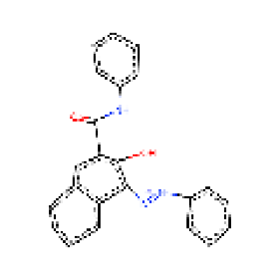 O=C(Nc1ccccc1)c1cc2ccccc2c(/N=N/c2ccccc2)c1O